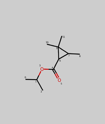 CC(C)OC(=O)C1C(C)C1(C)C